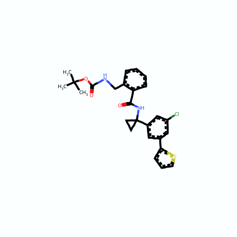 CC(C)(C)OC(=O)NCc1ccccc1C(=O)NC1(c2cc(Cl)cc(-c3cccs3)c2)CC1